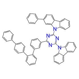 c1ccc(-c2ccc(-c3ccccc3-c3cccc(-c4nc(-n5c6ccccc6c6ccccc65)nc(-n5c6ccccc6c6ccc(-c7ccccc7)cc65)n4)c3)cc2)cc1